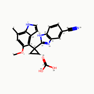 COc1cc(C)c2[nH]ccc2c1C1(c2nc3cc(C#N)ccc3[nH]2)CC1.O=C(O)O